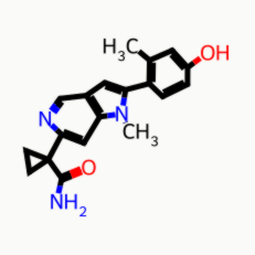 Cc1cc(O)ccc1-c1cc2cnc(C3(C(N)=O)CC3)cc2n1C